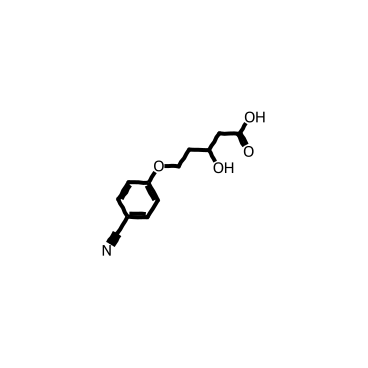 N#Cc1ccc(OCCC(O)CC(=O)O)cc1